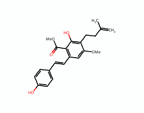 C=C(C)CCc1c(OC)cc(C=Cc2ccc(O)cc2)c(C(=O)OC)c1O